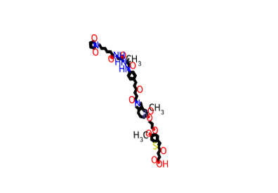 COC1=C\C2=C(CC/C=C\1OCCCOc1cc3cc(C(=O)CCC(=O)O)sc3cc1OC)CN(C(=O)CCC(=O)CCc1ccc(NC(=O)[C@H](C)NC(=O)CNC(=O)CCCCCN3C(=O)C=CC3=O)cc1)C2